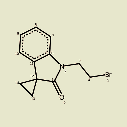 O=C1N(CCBr)c2ccccc2C12CC2